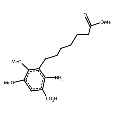 COC(=O)CCCCCCc1c(N)c(C(=O)O)cc(OC)c1OC